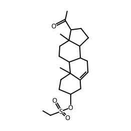 CCS(=O)(=O)OC1CCC2(C)C(=CCC3C2CCC2(C)C(C(C)=O)CCC32)C1